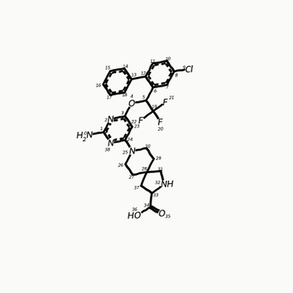 Nc1nc(OC(c2cc(Cl)ccc2-c2ccccc2)C(F)(F)F)cc(N2CCC3(CC2)CNC(C(=O)O)C3)n1